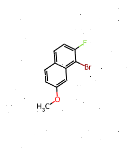 COc1ccc2ccc(F)c(Br)c2c1